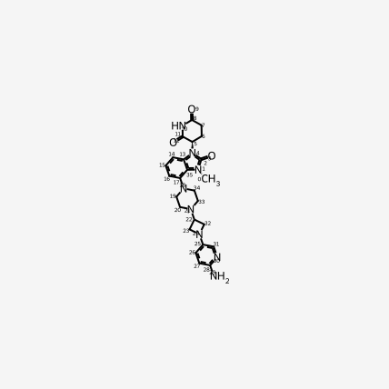 Cn1c(=O)n([C@@H]2CCC(=O)NC2=O)c2cccc(N3CCN(C4CN(c5ccc(N)nc5)C4)CC3)c21